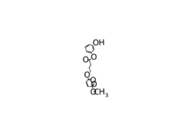 COC(=O)/C=C\C(=O)OCCCC(=O)Oc1cccc(O)c1